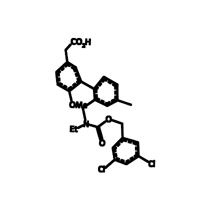 CCN(Cc1cc(C)ccc1-c1cc(CC(=O)O)ccc1OC)C(=O)OCc1cc(Cl)cc(Cl)c1